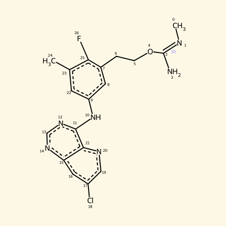 C/N=C(/N)OCCc1cc(Nc2ncnc3cc(Cl)cnc23)cc(C)c1F